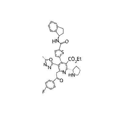 CCOC(=O)c1c([C@@H]2CCCN2)nc(CC(=O)c2ccc(F)cc2)c(-c2nnc(C)o2)c1-c1ccc(C(=O)N[C@@H]2CCc3ccccc32)s1